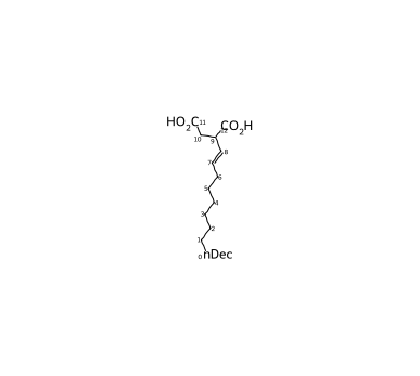 CCCCCCCCCCCCCCCC/C=C/C(CC(=O)O)C(=O)O